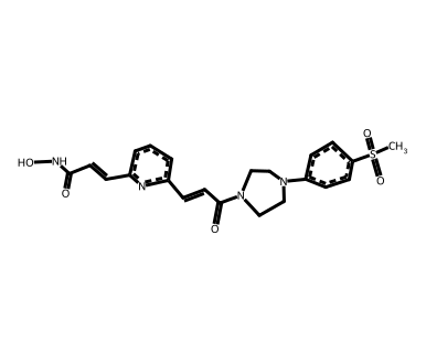 CS(=O)(=O)c1ccc(N2CCN(C(=O)/C=C/c3cccc(/C=C/C(=O)NO)n3)CC2)cc1